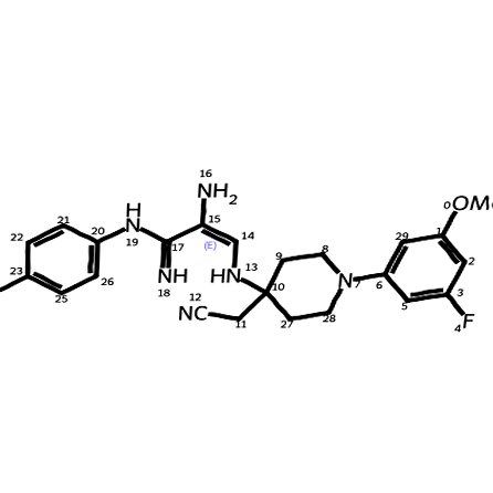 COc1cc(F)cc(N2CCC(CC#N)(N/C=C(/N)C(=N)Nc3ccc(F)cc3)CC2)c1